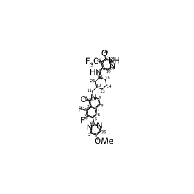 COc1cnc(-c2cc3ccn(CC4CCC[C@H](Nc5cn[nH]c(=O)c5C(F)(F)F)C4)c(=O)c3c(F)c2F)nc1